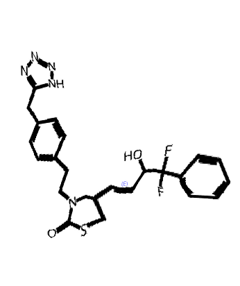 O=C1SCC(/C=C/C(O)C(F)(F)c2ccccc2)N1CCc1ccc(Cc2nnn[nH]2)cc1